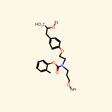 CCCOCCCN(CCOc1ccc(CC(OCC)C(=O)O)cc1)C(=O)Oc1ccccc1C